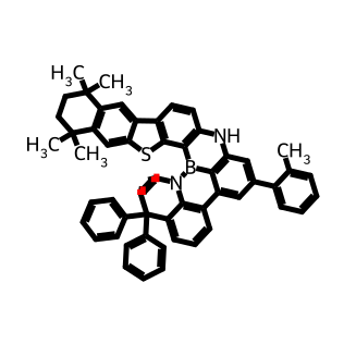 Cc1ccccc1-c1cc2c3c(c1)-c1cccc4c1N(B3c1c(ccc3c1sc1cc5c(cc13)C(C)(C)CCC5(C)C)N2)c1ccccc1C4(c1ccccc1)c1ccccc1